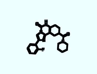 O=C(C1CCc2[nH]c(=O)n3cc(-c4ccccc4F)nc3c2C1)N1CCCCC1